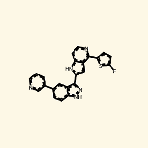 Fc1ccc(-c2nccc3[nH]c(-c4n[nH]c5ccc(-c6cccnc6)cc45)cc23)s1